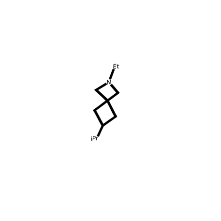 CCN1CC2(CC(C(C)C)C2)C1